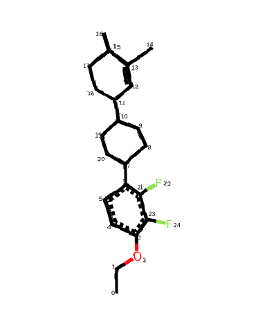 CCOc1ccc(C2CCC(C3C=C(C)C(C)CC3)CC2)c(F)c1F